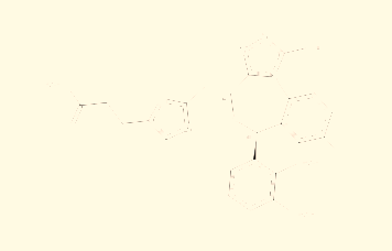 COC(=O)CCc1cnc(C[C@H]2S[C@H](c3cccc(OC)c3OC)c3cc(Cl)ccc3-n3c2nnc3C(C)(C)C)s1